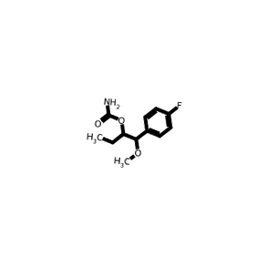 CCC(OC(N)=O)C(OC)c1ccc(F)cc1